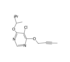 CC#CCOc1ncnc(OC(C)C(C)C)c1Cl